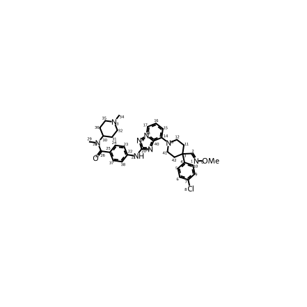 CON=CC1(c2ccc(Cl)cc2)CCN(c2cccn3nc(Nc4ccc(C(=O)N(C)C5CCN(C)CC5)cc4)nc23)CC1